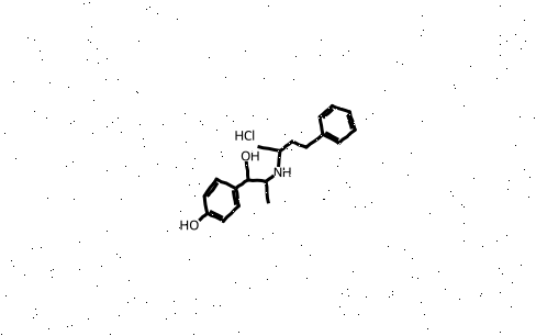 CC(CCc1ccccc1)NC(C)C(O)c1ccc(O)cc1.Cl